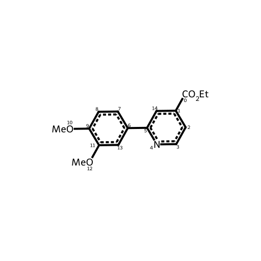 CCOC(=O)c1ccnc(-c2ccc(OC)c(OC)c2)c1